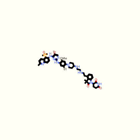 CCc1cc(Nc2ncc(Br)c(Nc3ccc4nc(C)ccc4c3P(C)(C)=O)n2)c(OC)cc1N1CCC(NCCNCCc2cccc3c2C(C)(C)C(=O)N3C2CCC(=O)NC2=O)CC1